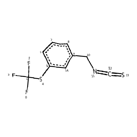 FC(F)(F)Sc1cccc(CN=C=S)c1